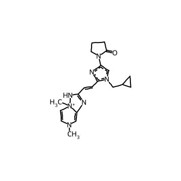 CN1C=C[N+]2(C)NC(/C=C/c3nc(N4CCCC4=O)cn3CC3CC3)=NC2=C1